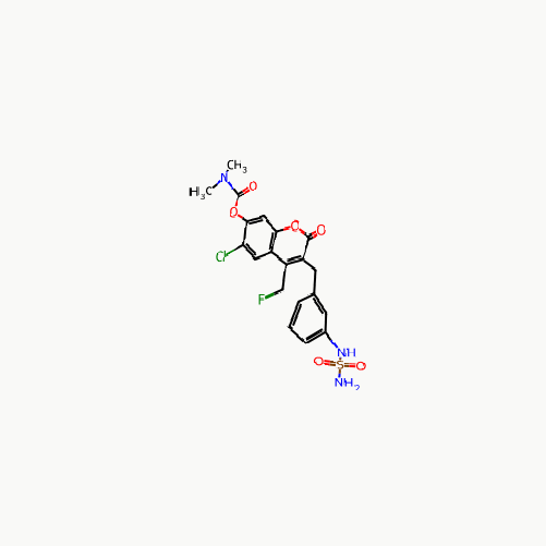 CN(C)C(=O)Oc1cc2oc(=O)c(Cc3cccc(NS(N)(=O)=O)c3)c(CF)c2cc1Cl